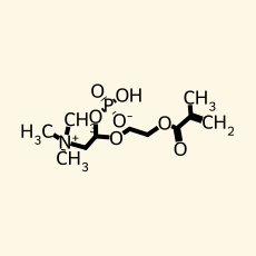 C=C(C)C(=O)OCCOC(C[N+](C)(C)C)OP(=O)([O-])O